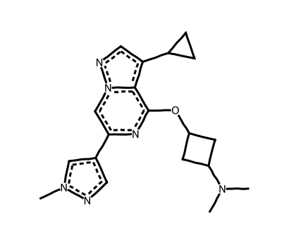 CN(C)C1CC(Oc2nc(-c3cnn(C)c3)cn3ncc(C4CC4)c23)C1